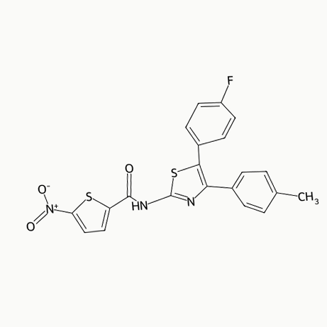 Cc1ccc(-c2nc(NC(=O)c3ccc([N+](=O)[O-])s3)sc2-c2ccc(F)cc2)cc1